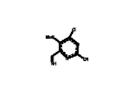 CNc1c(Cl)cc(C#N)nc1C=N